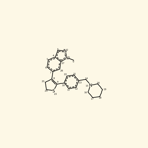 Cn1ncc2ccc(C3=C(c4ccc(CN5CCCCC5)cc4)SCC3)cc21